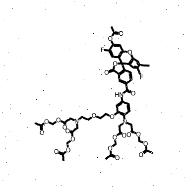 CC(=O)OCOC(=O)CN(CCOCCOc1cc(NC(=O)c2ccc3c(c2)C(=O)OC32c3cc(F)c(C)cc3Oc3cc(OC(C)=O)c(F)cc32)ccc1N(CC(=O)OCOC(C)=O)CC(=O)OCOC(C)=O)CC(=O)OCOC(C)=O